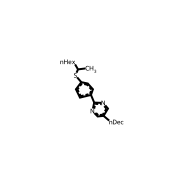 CCCCCCCCCCc1cnc(-c2ccc(SC(C)CCCCCC)cc2)nc1